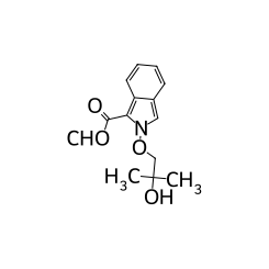 CC(C)(O)COn1cc2ccccc2c1C(=O)C=O